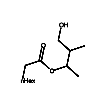 CCCCCCCC(=O)OC(C)C(C)CO